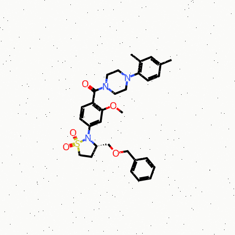 COc1cc(N2[C@H](COCc3ccccc3)CCS2(=O)=O)ccc1C(=O)N1CCN(c2ccc(C)cc2C)CC1